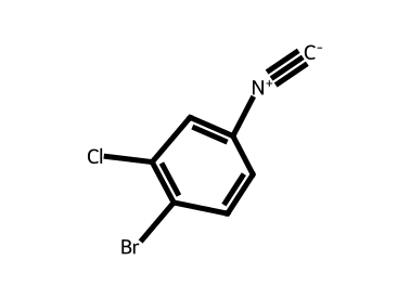 [C-]#[N+]c1ccc(Br)c(Cl)c1